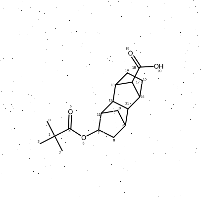 CC(C)(C)C(=O)OC1CC2CC1C1C3CCC(C3C(=O)O)C21